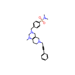 CN1CN(Cc2ccc(S(=O)(=O)N(C)C)cc2)CC2=C1CCN(CC#Cc1ccccc1)C2